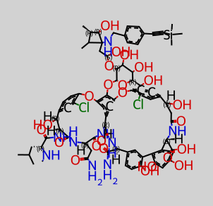 CN[C@H](CC(C)C)C(=O)N[C@H]1C(=O)N[C@@H](CC(N)=O)C(=O)N[C@H]2C(=O)N[C@H](C(N)=O)c3ccc(O)c(c3)-c3c(O)cc(O)cc3[C@@H](C(=O)O)NC(=O)C[C@H](O)c3ccc(c(Cl)c3)Oc3cc2cc(c3OC2O[C@H](CO)C(O)C(O)[C@H]2O[C@H](O)CC2(NCc3ccc(C#C[Si](C)(C)C)cc3)C(C)[C@@H](C)[C@H]2O)Oc2ccc(cc2Cl)[C@H]1O